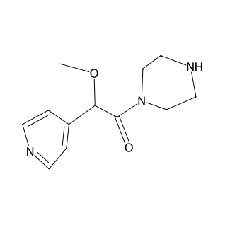 COC(C(=O)N1CCNCC1)c1ccncc1